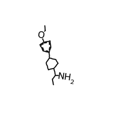 CCOc1ccc(C2CCC(C(N)CC)CC2)cc1